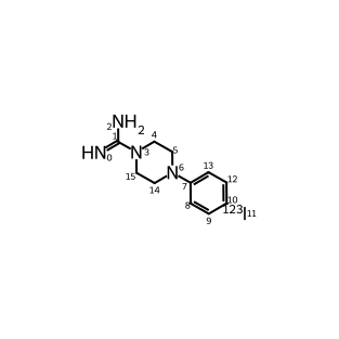 N=C(N)N1CCN(c2ccc([123I])cc2)CC1